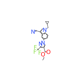 CCOC(=O)c1cn(-c2ccc3c(c2)c(C#N)cn3CC2CC2)nc1C(F)(F)F